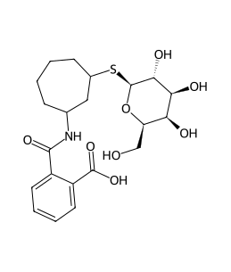 O=C(O)c1ccccc1C(=O)NC1CCCCC(S[C@@H]2O[C@H](CO)[C@H](O)[C@H](O)[C@H]2O)C1